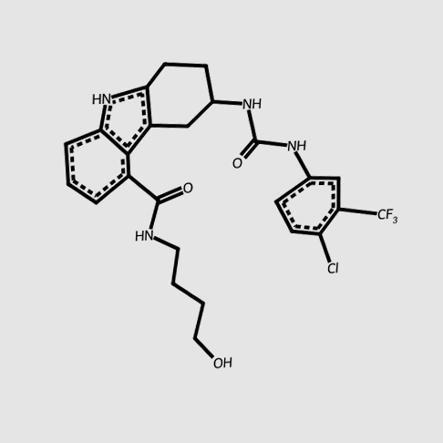 O=C(Nc1ccc(Cl)c(C(F)(F)F)c1)NC1CCc2[nH]c3cccc(C(=O)NCCCCO)c3c2C1